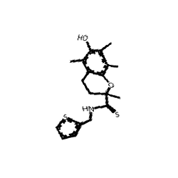 Cc1c(C)c2c(c(C)c1O)CCC(C)(C(=S)NCc1cccs1)O2